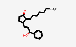 O=C(O)CCCCC/C=C1\C(=O)C=CC1/C=C/C(O)c1ccccc1